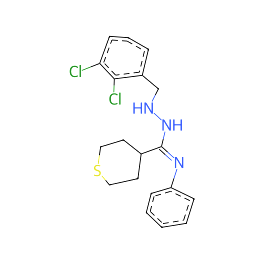 Clc1cccc(CNN/C(=N/c2ccccc2)C2CCSCC2)c1Cl